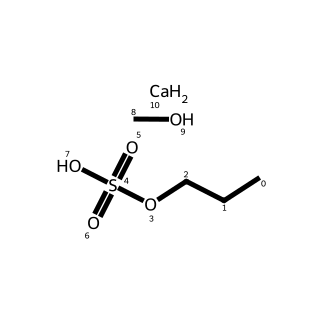 CCCOS(=O)(=O)O.CO.[CaH2]